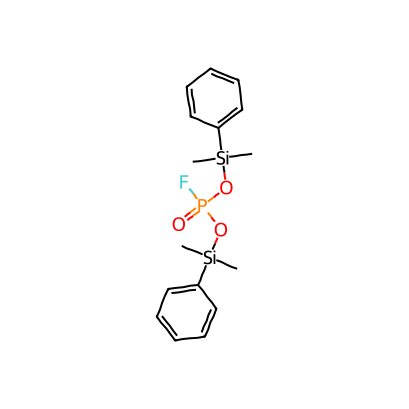 C[Si](C)(OP(=O)(F)O[Si](C)(C)c1ccccc1)c1ccccc1